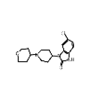 O=c1[nH]c2ccc(Cl)cc2n1C1CCN(C2CCOCC2)CC1